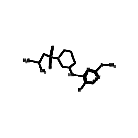 CSc1ncc(Br)c(NC2CCCN(S(=O)(=O)CC(C)C)C2)n1